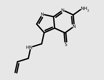 C=CCNCC1=C2C(=S)N=C(N)N=C2N=C1